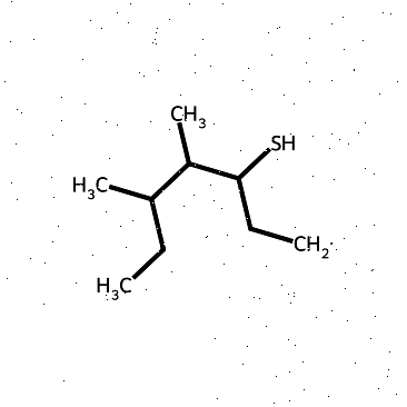 [CH2]CC(S)C(C)C(C)CC